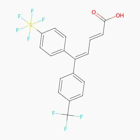 O=C(O)/C=C/C=C(/c1ccc(C(F)(F)F)cc1)c1ccc(S(F)(F)(F)(F)F)cc1